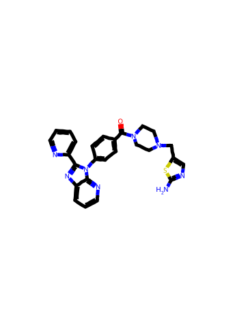 Nc1ncc(CN2CCN(C(=O)c3ccc(-n4c(-c5ccccn5)nc5cccnc54)cc3)CC2)s1